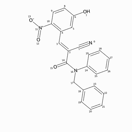 N#CC(=Cc1cc(O)ccc1[N+](=O)[O-])C(=O)N(Cc1ccccc1)c1ccccc1